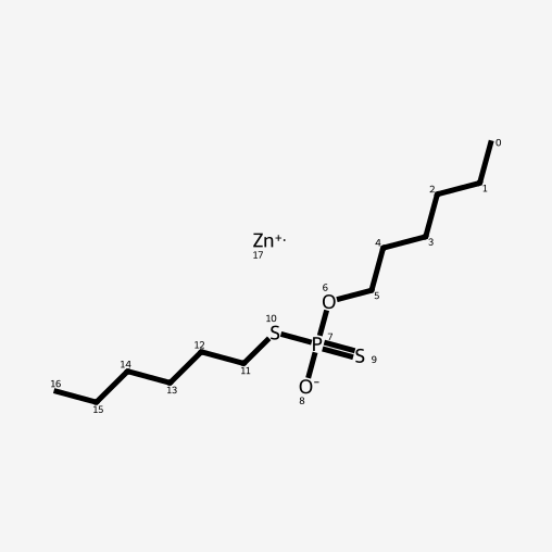 CCCCCCOP([O-])(=S)SCCCCCC.[Zn+]